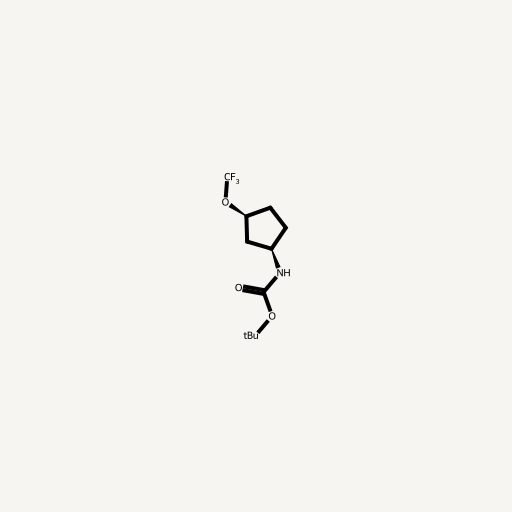 CC(C)(C)OC(=O)N[C@@H]1CC[C@H](OC(F)(F)F)C1